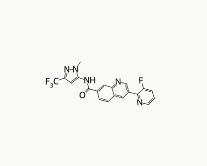 Cn1nc(C(F)(F)F)cc1NC(=O)c1ccc2cc(-c3ncccc3F)cnc2c1